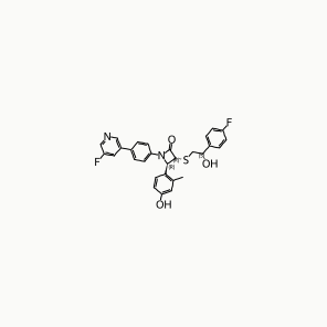 Cc1cc(O)ccc1[C@@H]1[C@@H](SC[C@@H](O)c2ccc(F)cc2)C(=O)N1c1ccc(-c2cncc(F)c2)cc1